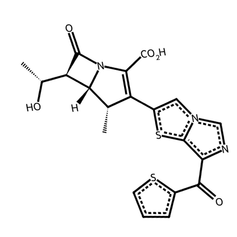 C[C@@H](O)[C@H]1C(=O)N2C(C(=O)O)=C(c3cn4cnc(C(=O)c5cccs5)c4s3)[C@H](C)[C@H]12